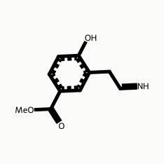 COC(=O)c1ccc(O)c(CC=N)c1